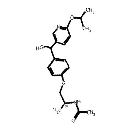 CC(=O)N[C@@H](C)COc1ccc(C(O)c2ccc(OC(C)C)nc2)cc1